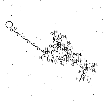 CC[C@H](NC(=O)[C@H](C)NC(=O)[C@H](CC(C)C)NC(=O)[C@H](CC(=O)OC(C)(C)C)NC(=O)CNC(=O)[C@H](CCCN/C(=N\C(=O)OC(C)(C)C)NC(=O)OC(C)(C)C)NC(C)=O)C(=O)N[C@@H](CC(C)C)C(=O)N[C@@H](CCCNC(N)=O)C(=O)NC(C)(C)C(=O)N[C@@H](CC(C)C)C(=O)NCCOCCOCCOCCOCCOCCC(=O)OC1CCCCCCCC1